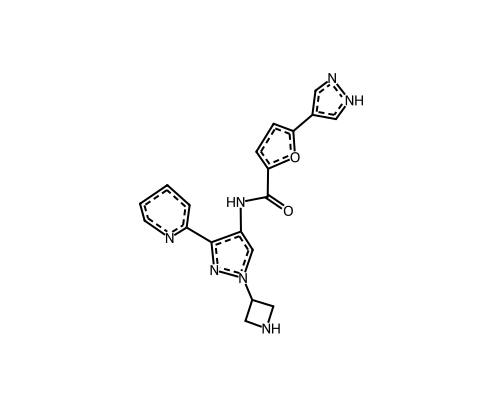 O=C(Nc1cn(C2CNC2)nc1-c1ccccn1)c1ccc(-c2cn[nH]c2)o1